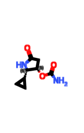 NC(=O)O[C@H]1CC(=O)N[C@H]1C1CC1